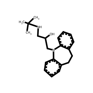 CC(C)(C)NCC(O)CN1c2ccccc2CCc2ccccc21